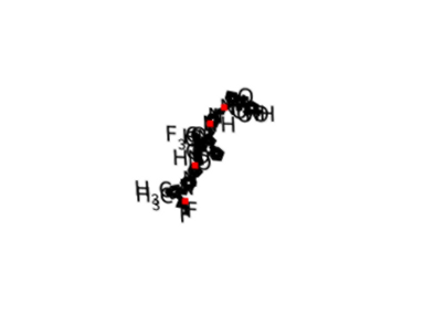 CC1(C)CCC(CN2CCN(c3ccc(C(=O)NS(=O)(=O)c4ccc(NC(CCN5CCN(CCCNc6cccc7c6C(=O)N(C6CCC(=O)NC6=O)C7=O)CC5)CSc5ccccc5)c(S(=O)(=O)C(F)(F)F)c4)cc3)CC2)=C(C23CC(C(F)F)(C2)C3)C1